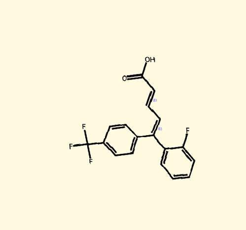 O=C(O)/C=C/C=C(\c1ccc(C(F)(F)F)cc1)c1ccccc1F